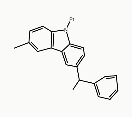 CCn1c2ccc(C)cc2c2cc(C(C)c3ccccc3)ccc21